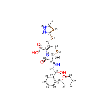 Cc1nnc(SCC2=C(C(=O)O)N3C(=O)C(NCC(O)c4ccccc4C4CCCCO4)[C@@H]3SC2)s1